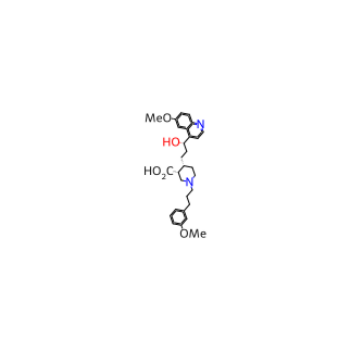 COc1cccc(CCCN2CC[C@@H](CC[C@H](O)c3ccnc4ccc(OC)cc34)[C@@H](C(=O)O)C2)c1